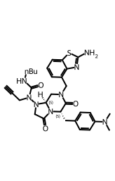 C#CCN(C(=O)NCCCC)N1CC(=O)N2[C@@H](Cc3ccc(N(C)C)cc3)C(=O)N(Cc3cccc4sc(N)nc34)C[C@@H]21